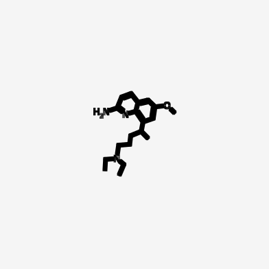 CCN(CC)CCCC(C)c1cc(OC)cc2ccc(N)nc12